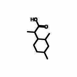 CC1CCC(C(C)C(=O)O)C(C)C1